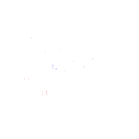 CCCCCCN(C(=O)OCC)C(C)(C)C(=O)O